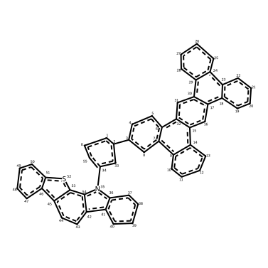 c1cc(-c2ccc3c(c2)c2ccccc2c2cc4c5ccccc5c5ccccc5c4cc32)cc(-n2c3ccccc3c3ccc4c5ccccc5sc4c32)c1